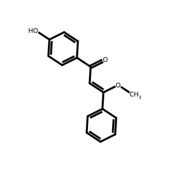 COC(=CC(=O)c1ccc(O)cc1)c1ccccc1